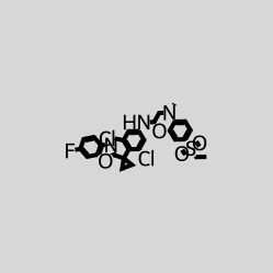 CCS(=O)(=O)c1ccc(N(C)CC(=O)Nc2cc(Cl)c(C3(c4nc5ccc(F)cc5o4)CC3)c(Cl)c2)cc1